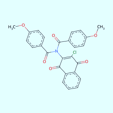 COc1ccc(C(=O)N(C(=O)c2ccc(OC)cc2)C2=C(Cl)C(=O)c3ccccc3C2=O)cc1